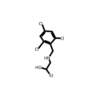 CCC(O)CNCc1c(Cl)cc(Cl)cc1Cl